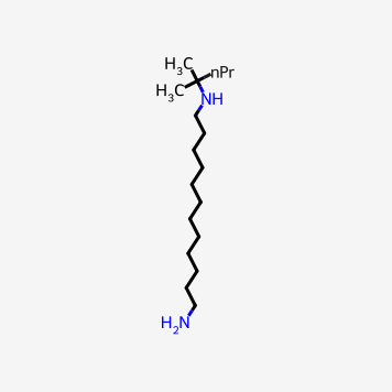 CCCC(C)(C)NCCCCCCCCCCCCN